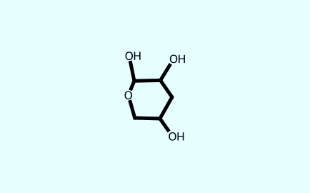 OC1COC(O)C(O)C1